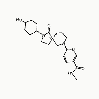 CNC(=O)c1ccc(N2CCC[C@]3(CCN(C4CCC(O)CC4)C3=O)C2)nc1